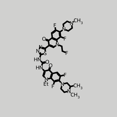 CCn1cc(NC(=O)Nc2nnc(-c3cn(CCF)c4c(F)c(N5CCN(C)CC5)c(F)cc4c3=O)s2)c(=O)c2cc(F)c(N3CCN(C)C(C)C3)c(F)c21